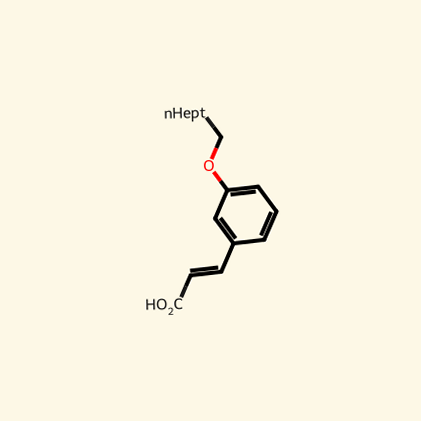 CCCCCCCCOc1cccc(/C=C/C(=O)O)c1